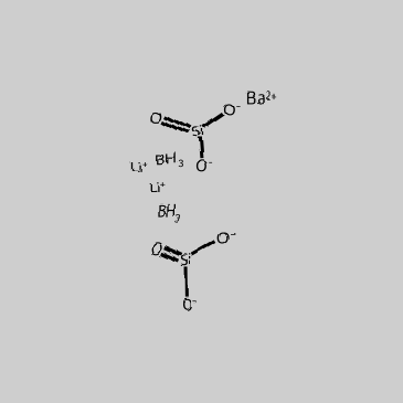 B.B.O=[Si]([O-])[O-].O=[Si]([O-])[O-].[Ba+2].[Li+].[Li+]